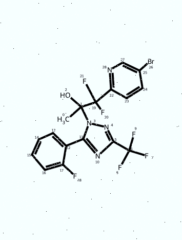 CC(O)(n1nc(C(F)(F)F)nc1-c1ccccc1F)C(F)(F)c1ccc(Br)cn1